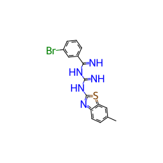 Cc1ccc2nc(NC(=N)NC(=N)c3cccc(Br)c3)sc2c1